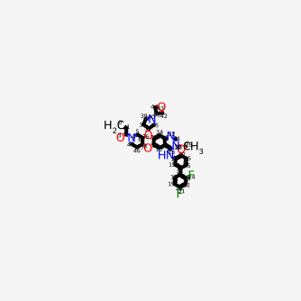 C=CC(=O)N1CCC(Oc2cc3c(Nc4cc(-c5ccc(F)cc5F)ccc4OC)ncnc3cc2OC2CCN(C3COC3)C2)CC1